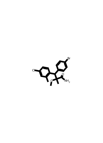 COC(C)(C(N)=O)C(c1ccc(Br)cc1)c1ccc(Cl)cc1C